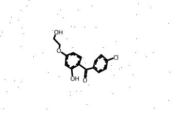 O=C(c1ccc(Cl)cc1)c1ccc(OCCO)cc1O